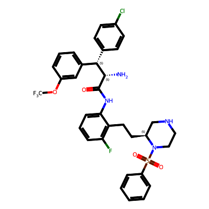 N[C@H](C(=O)Nc1cccc(F)c1CC[C@H]1CNCCN1S(=O)(=O)c1ccccc1)[C@@H](c1ccc(Cl)cc1)c1cccc(OC(F)(F)F)c1